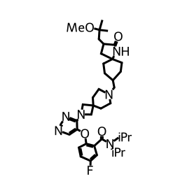 COC(C)(C)CC1CC2(CCC(CN3CCC4(CC3)CN(c3ncncc3Oc3ccc(F)cc3C(=O)N(C(C)C)C(C)C)C4)CC2)NC1=O